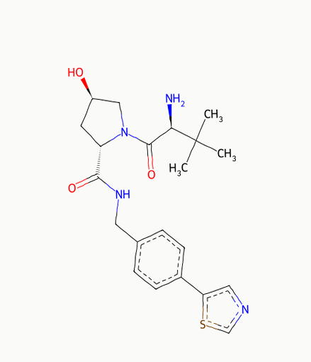 CC(C)(C)[C@H](N)C(=O)N1C[C@H](O)C[C@H]1C(=O)NCc1ccc(-c2cncs2)cc1